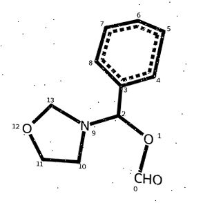 O=COC(c1ccccc1)N1CCOC1